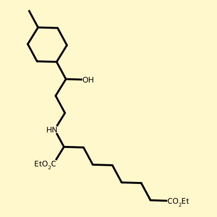 CCOC(=O)CCCCCCC(NCCC(O)C1CCC(C)CC1)C(=O)OCC